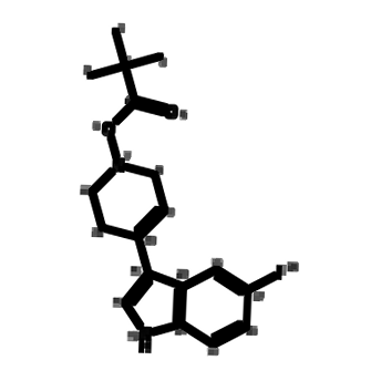 CC(C)(C)C(=O)ON1CC=C(c2c[nH]c3ccc(F)cc23)CC1